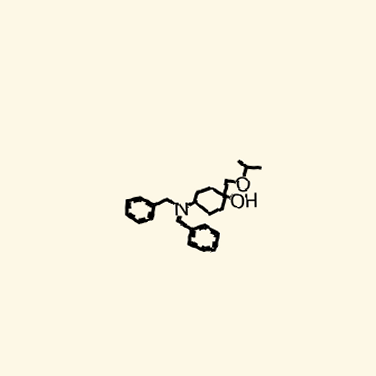 CC(C)OCC1(O)CCC(N(Cc2ccccc2)Cc2ccccc2)CC1